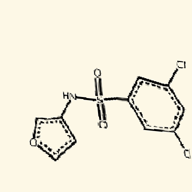 O=S(=O)(Nc1ccoc1)c1cc(Cl)cc(Cl)c1